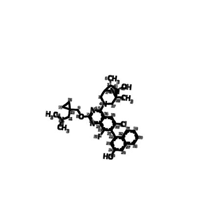 C[C@H]1C2CN(c3nc(OCC4(CN(C)C)CC4)nc4c(F)c(-c5cc(O)cc6ccccc56)c(Cl)cc34)CC(C)(N2)[C@H]1O